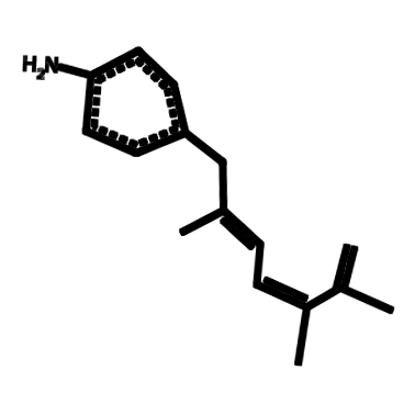 C=C(C)/C(C)=C\C=C(/C)Cc1ccc(N)cc1